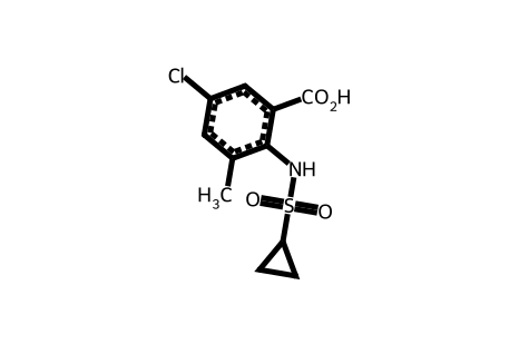 Cc1cc(Cl)cc(C(=O)O)c1NS(=O)(=O)C1CC1